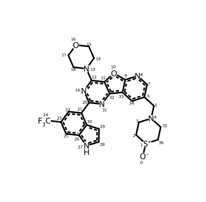 [O-][S+]1CCN(Cc2cnc3oc4c(N5CCOCC5)nc(-c5cc(C(F)(F)F)cc6[nH]ccc56)nc4c3c2)CC1